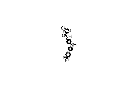 O=C(NCc1ccc(Nc2ccc(N3CCC(C(F)(F)F)CC3)cc2)cc1)c1cncc(Cl)n1